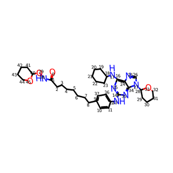 O=C(CCCCCCCc1ccc(Nc2nc(NC3CCCCC3)c3ncn(C4CCCCO4)c3n2)cc1)NOC1CCCCO1